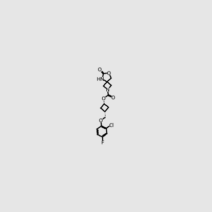 O=C1NC2(CO1)CN(C(=O)O[C@H]1C[C@@H](COc3ccc(F)cc3Cl)C1)C2